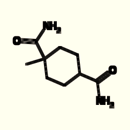 CC1(C(N)=O)CCC(C(N)=O)CC1